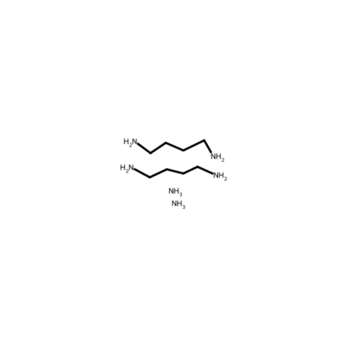 N.N.NCCCCN.NCCCCN